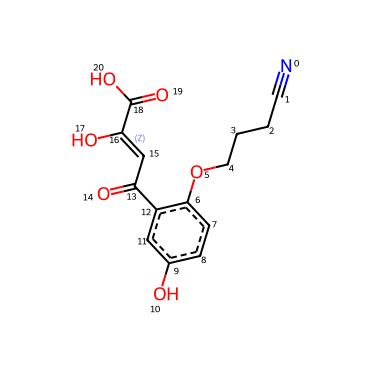 N#CCCCOc1ccc(O)cc1C(=O)/C=C(\O)C(=O)O